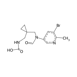 Cc1ncc(N(C=O)CC2(CNC(=O)O)CC2)cc1Br